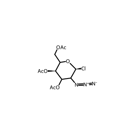 CC(=O)OCC1O[C@@H](Cl)C(N=[N+]=[N-])C(OC(C)=O)[C@H]1OC(C)=O